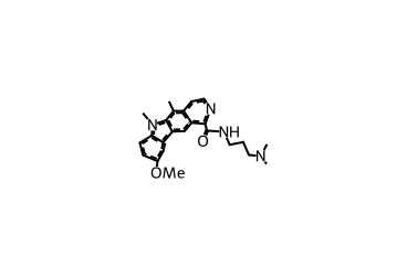 COc1ccc2c(c1)c1cc3c(C(=O)NCCCN(C)C)nccc3c(C)c1n2C